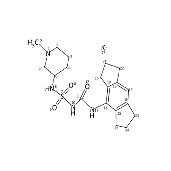 CN1CCCC(NS(=O)(=O)NC(=O)Nc2c3c(cc4c2CCC4)CCC3)C1.[K]